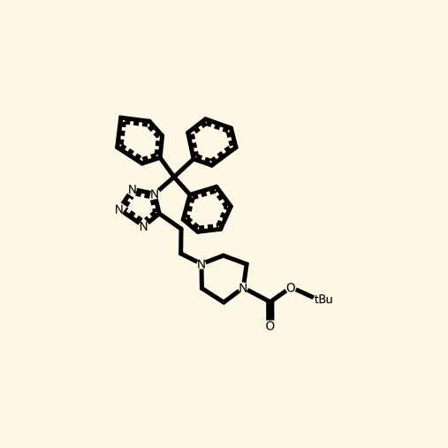 CC(C)(C)OC(=O)N1CCN(CCc2nnnn2C(c2ccccc2)(c2ccccc2)c2ccccc2)CC1